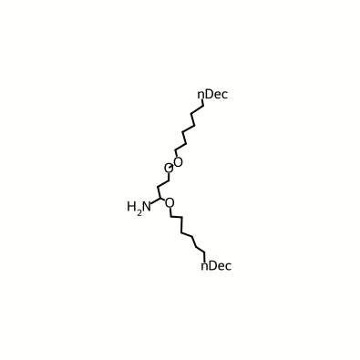 CCCCCCCCCCCCCCCCOOCCC(N)OCCCCCCCCCCCCCCCC